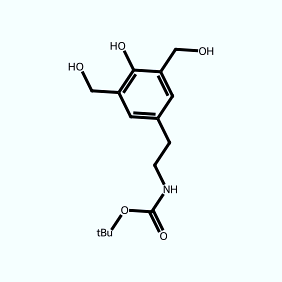 CC(C)(C)OC(=O)NCCc1cc(CO)c(O)c(CO)c1